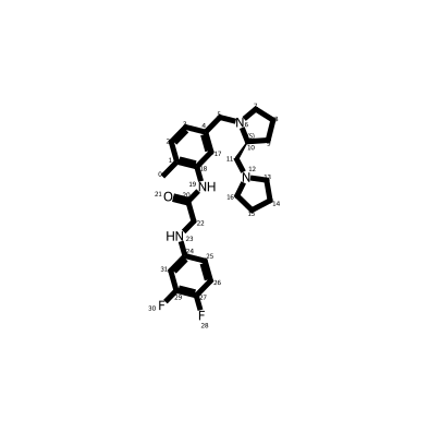 Cc1ccc(CN2CCC[C@H]2CN2CCCC2)cc1NC(=O)CNc1ccc(F)c(F)c1